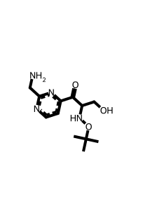 CC(C)(C)ONC(CO)C(=O)c1ccnc(CN)n1